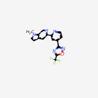 Cn1[c]cc2cc(-c3cc(-c4noc(C(F)(F)F)n4)ccn3)ncc21